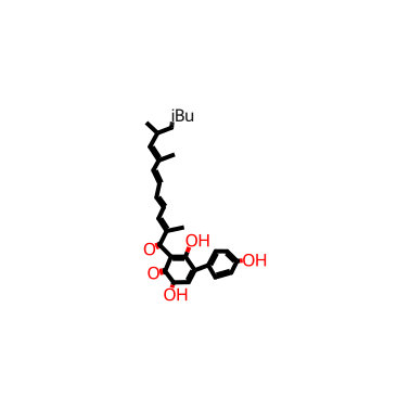 CCC(C)CC(C)/C=C(C)/C=C/C=C/C=C(\C)C(=O)C1=C(O)C(c2ccc(O)cc2)=CC(O)C1=O